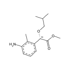 COC(=O)[C@@H](OCC(C)C)c1cccc(N)c1C